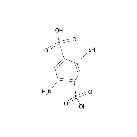 Nc1cc(S(=O)(=O)O)c(S)cc1S(=O)(=O)O